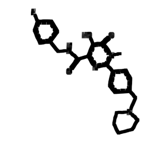 Cn1c(-c2ccc(CN3CCCCC3)cc2)nc(C(=O)NCc2ccc(F)cc2)c(O)c1=O